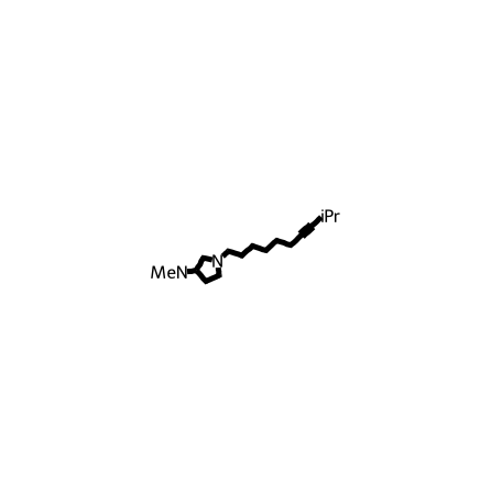 CNC1CCN(CCCCCCC#CC(C)C)C1